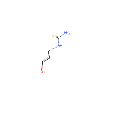 NC(=S)NCC=CO